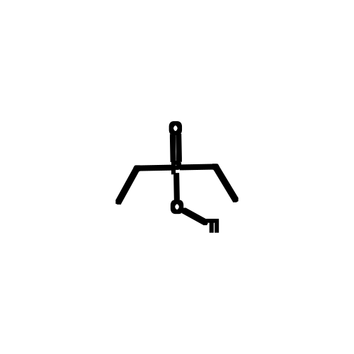 CCP(=O)(CC)[O][Ti]